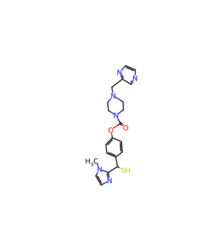 Cn1ccnc1C(S)c1ccc(OC(=O)N2CCN(Cc3cnccn3)CC2)cc1